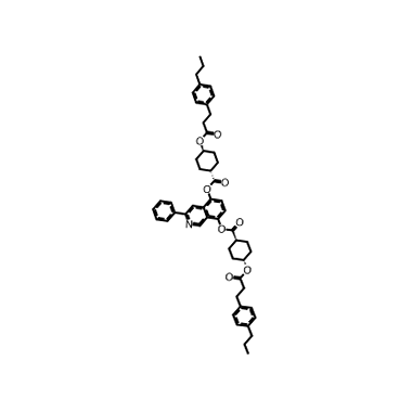 CCCc1ccc(CCC(=O)O[C@H]2CC[C@H](C(=O)Oc3ccc(OC(=O)[C@H]4CC[C@H](OC(=O)CCc5ccc(CCC)cc5)CC4)c4cc(-c5ccccc5)ncc34)CC2)cc1